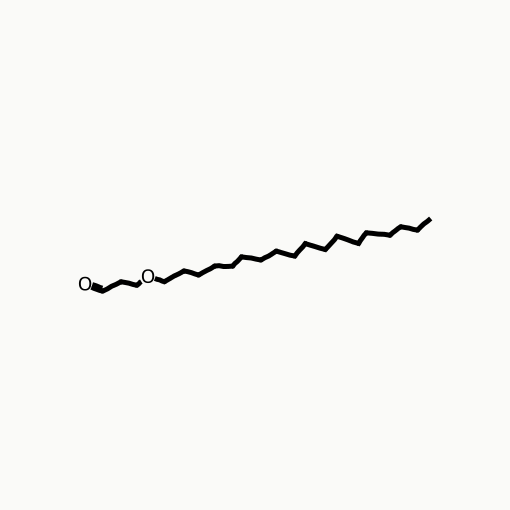 CCCCCCCCCCCCCCCCCCOCCC=O